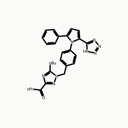 CCCCc1nc(C(=O)CCC)nn1Cc1ccc(-n2c(-c3ccccc3)ccc2-c2nnn[nH]2)cc1